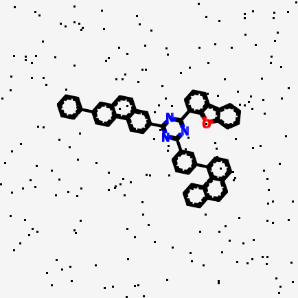 c1ccc(-c2ccc3c(ccc4cc(-c5nc(-c6cccc(-c7cccc8ccc9ccccc9c78)c6)nc(-c6cccc7c6oc6ccccc67)n5)ccc43)c2)cc1